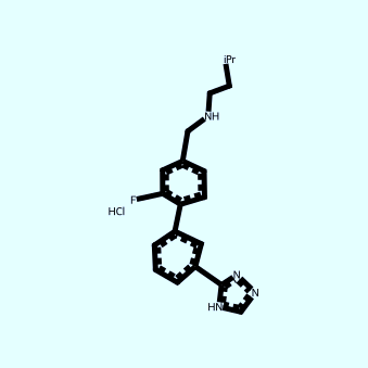 CC(C)CCNCc1ccc(-c2cccc(-c3nnc[nH]3)c2)c(F)c1.Cl